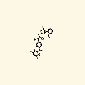 Cc1cc(C)nc(N(C)c2ccc(NC(=O)OC3CC(=O)N(c4ccccc4C(C)C)C3)cc2)n1